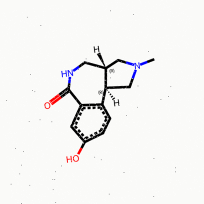 CN1C[C@H]2CNC(=O)c3cc(O)ccc3[C@@H]2C1